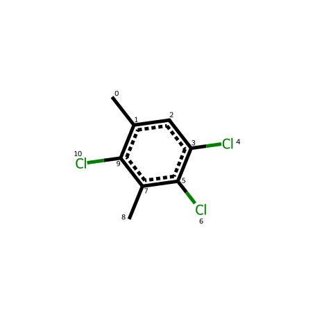 Cc1cc(Cl)c(Cl)c(C)c1Cl